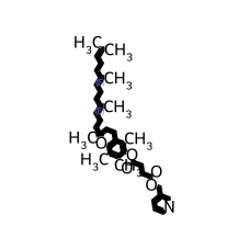 CC(C)=CCC/C(C)=C/CC/C(C)=C/CC[C@]1(C)CCc2c(C)c(OC(=O)CCC(=O)OCc3cccnc3)c(C)c(C)c2O1